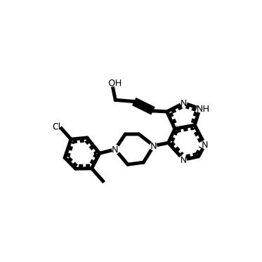 Cc1ccc(Cl)cc1N1CCN(c2ncnc3[nH]nc(C#CCO)c23)CC1